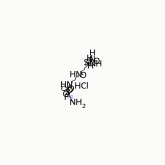 Cl.NC/C=C(\F)CS(=O)(=O)c1ccccc1C(=O)NCCCCCNC(=O)CCCC[C@@H]1SC[C@@H]2NC(=O)N[C@@H]21